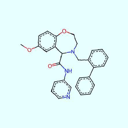 COc1ccc2c(c1)C(C(=O)Nc1cccnc1)N(Cc1ccccc1-c1ccccc1)CCO2